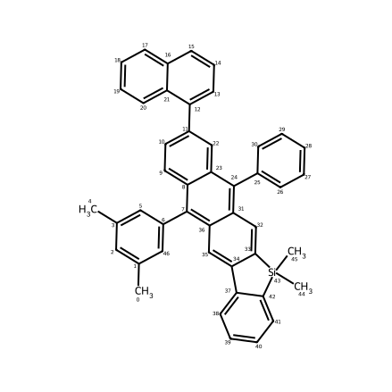 Cc1cc(C)cc(-c2c3ccc(-c4cccc5ccccc45)cc3c(-c3ccccc3)c3cc4c(cc23)-c2ccccc2[Si]4(C)C)c1